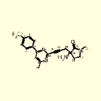 Cc1cc(-c2ccc(C(F)(F)F)cc2)nc(C#CC[C@@]2(N)CCN(C)C2=O)n1